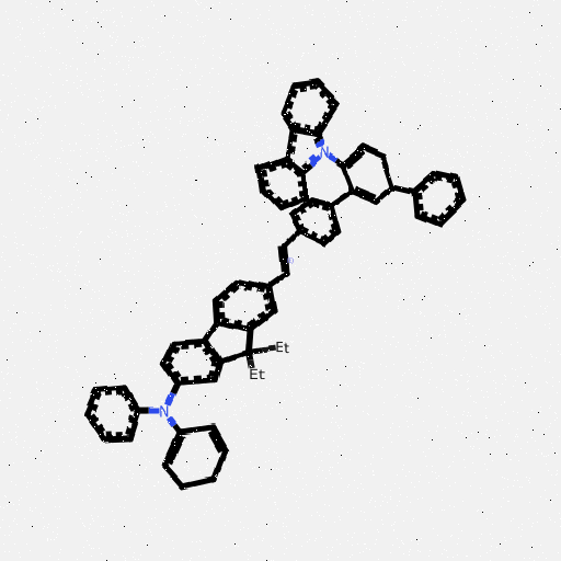 CCC1(CC)c2cc(/C=C/c3ccc(C4=CC(c5ccccc5)CC=C4n4c5ccccc5c5ccccc54)cc3)ccc2-c2ccc(N(C3=CCCC=C3)c3ccccc3)cc21